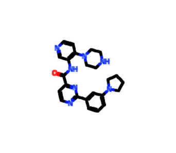 O=C(Nc1cnccc1N1CCNCC1)c1ccnc(-c2cccc(N3CCCC3)c2)n1